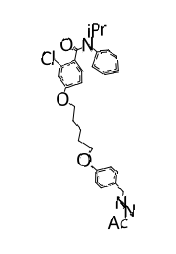 CC(=O)N=NCc1ccc(OCCCCCOc2ccc(C(=O)N(c3ccccc3)C(C)C)c(Cl)c2)cc1